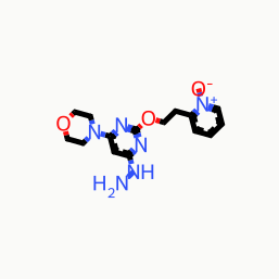 NNc1cc(N2CCOCC2)nc(OCCc2cccc[n+]2[O-])n1